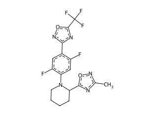 Cc1noc(C2CCCCN2c2cc(F)c(-c3noc(C(F)(F)F)n3)cc2F)n1